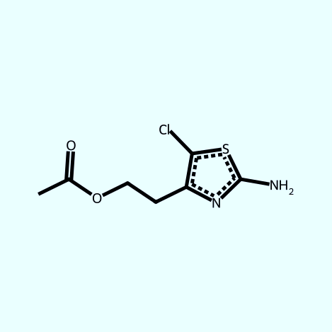 CC(=O)OCCc1nc(N)sc1Cl